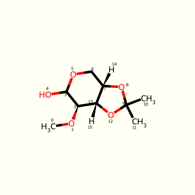 CO[C@H]1C(O)OC[C@@H]2OC(C)(C)O[C@@H]21